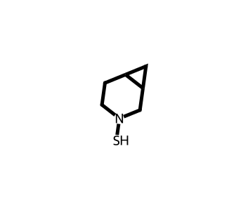 SN1CCC2CC2C1